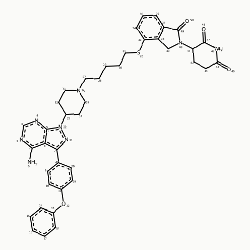 Nc1ncnc2c1c(-c1ccc(Oc3ccccc3)cc1)nn2C1CCN(CCCCCSc2cccc3c2CN(C2CCC(=O)NC2=O)C3=O)CC1